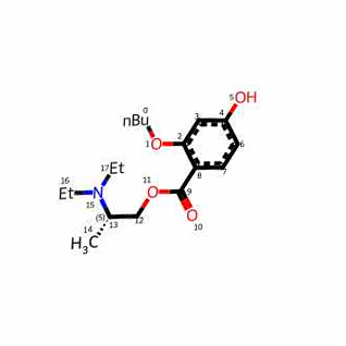 CCCCOc1cc(O)ccc1C(=O)OC[C@H](C)N(CC)CC